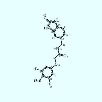 CC(C)(C)c1c(F)cc(OCC(=O)NCc2ccc3[nH]c(=O)[nH]c3c2)cc1F